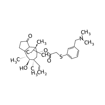 C=C[C@]1(C)C[C@@H](OC(=O)CSc2cccc(CN(C)C)c2)[C@]2(C)C(C)CCC3(CCC(=O)C32)[C@@H](C)[C@@H]1O